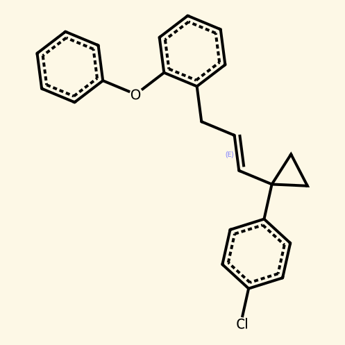 Clc1ccc(C2(/C=C/Cc3ccccc3Oc3ccccc3)CC2)cc1